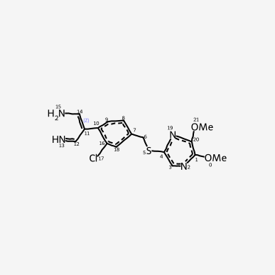 COc1ncc(SCc2ccc(/C(C=N)=C/N)c(Cl)c2)nc1OC